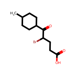 CC1CCC(C(=O)C(Br)CCC(=O)O)CC1